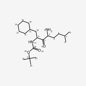 CC(C)CC[C](N)C(=O)C(CC1CCCCC1)NC(=O)OC(C)(C)C